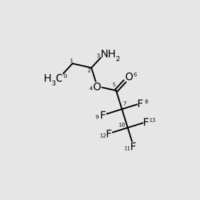 CCC(N)OC(=O)C(F)(F)C(F)(F)F